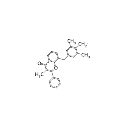 [CH2]c1c(C)cc(Cc2cccc3c(=O)c(C)c(-c4ccccc4)oc23)cc1C